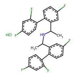 CC(NC(C)c1cc(F)ccc1-c1ccc(F)cc1F)c1cc(F)ccc1-c1ccc(F)cc1F.Cl